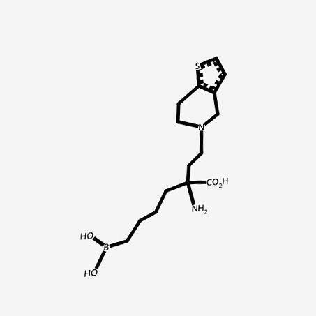 NC(CCCCB(O)O)(CCN1CCc2sccc2C1)C(=O)O